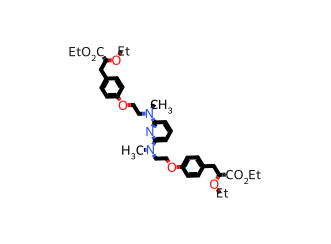 CCOC(=O)C(Cc1ccc(OCCN(C)c2cccc(N(C)CCOc3ccc(CC(OCC)C(=O)OCC)cc3)n2)cc1)OCC